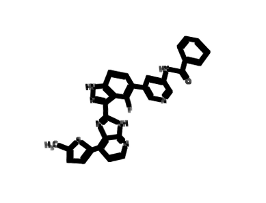 Cc1ccc(-c2ccnc3[nH]c(-c4n[nH]c5ccc(-c6cncc(NC(=O)c7ccccc7)c6)c(F)c45)nc23)s1